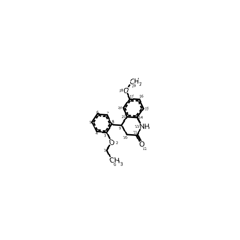 CCOc1ccccc1C1CC(=O)Nc2ccc(OC)cc21